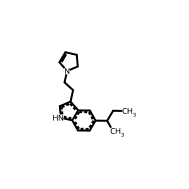 CCC(C)c1ccc2[nH]cc(CCN3C=CCC3)c2c1